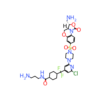 NCCCNC(=O)C1CCC(C(F)(F)c2cc(Cl)nc(N3CCN(S(=O)(=O)c4ccc5c(c4)OC[C@H]4[C@H](CN)OC(=O)N54)CC3)c2)CC1